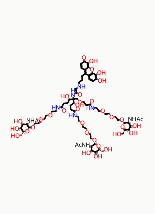 CC(=O)N[C@H]1[C@H](OCCOCCOCCNC(=O)CCC(O)C(COCCC(=O)NCCOCCOCCOC2O[C@H](CO)[C@H](O)[C@H](O)[C@H]2NC(C)=O)(NC(=O)CNCCCc2c3ccc(=O)c(O)c-3oc3c(O)c(O)ccc23)C(O)CCC(=O)NCCOCCOCCO[C@@H]2O[C@H](CO)[C@H](O)[C@H](O)[C@H]2NC(C)=O)O[C@H](CO)[C@H](O)[C@@H]1O